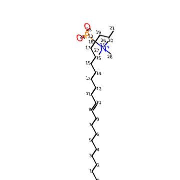 CCCCCCCCCC=CCCCCCCCC(CCC)(P(=O)=O)[N+](C)(C)C